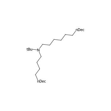 CCCCCCCCCCCCCCCCN(CCCCCCCCCCCCCC)C(C)(C)C